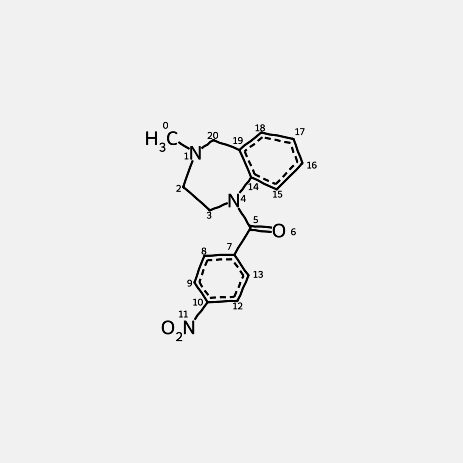 CN1CCN(C(=O)c2ccc([N+](=O)[O-])cc2)c2ccccc2C1